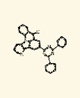 O=c1c2ccccc2n2c3cccnc3c3cc(-c4nc(-c5ccccc5)nc(-c5ccccc5)n4)cc1c32